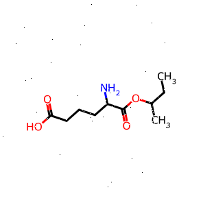 CCC(C)OC(=O)C(N)CCCC(=O)O